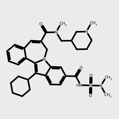 CN1CCCC(CN(C)C(=O)C2=Cc3ccccc3-c3c(C4CCCCC4)c4ccc(C(=O)NS(=O)(=O)N(C)C)cc4n3C2)C1